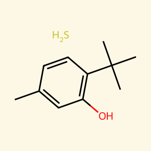 Cc1ccc(C(C)(C)C)c(O)c1.S